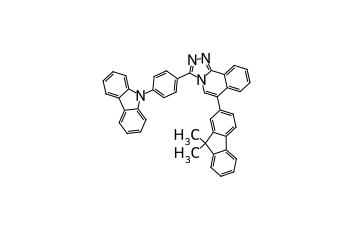 CC1(C)c2ccccc2-c2ccc(-c3cn4c(-c5ccc(-n6c7ccccc7c7ccccc76)cc5)nnc4c4ccccc34)cc21